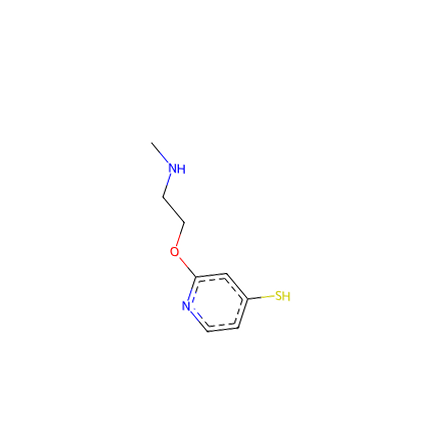 CNCCOc1cc(S)ccn1